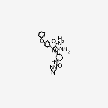 CN(C(=O)n1cncn1)[C@@H]1CCC[C@H](n2nc(-c3ccc(Oc4ccccc4)cc3)c(C(N)=O)c2N)C1